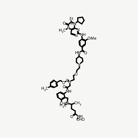 CC[C@@H]1C(=O)N(C)c2cnc(Nc3ccc(C(=O)NC4CCN(CCOCCN(CC(=O)Nc5cccc(C=O)c5CN(C)C(C)CCC(=O)NC=O)OOCc5ccc(C)cc5)CC4)cc3OC)nc2N1C1CCCC1